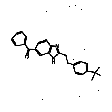 CC(C)(C)c1ccc(CCc2nc3ccc(C(=O)c4ccccc4)cc3[nH]2)cc1